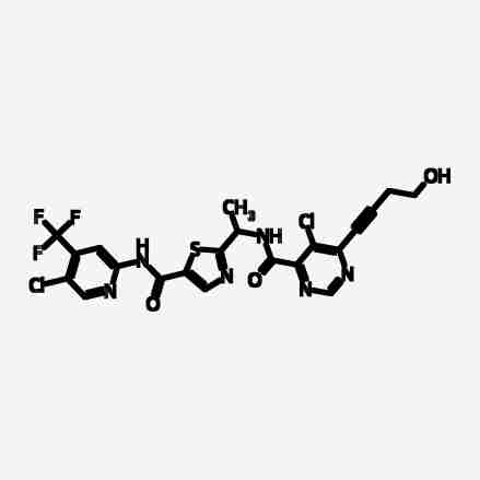 CC(NC(=O)c1ncnc(C#CCCO)c1Cl)c1ncc(C(=O)Nc2cc(C(F)(F)F)c(Cl)cn2)s1